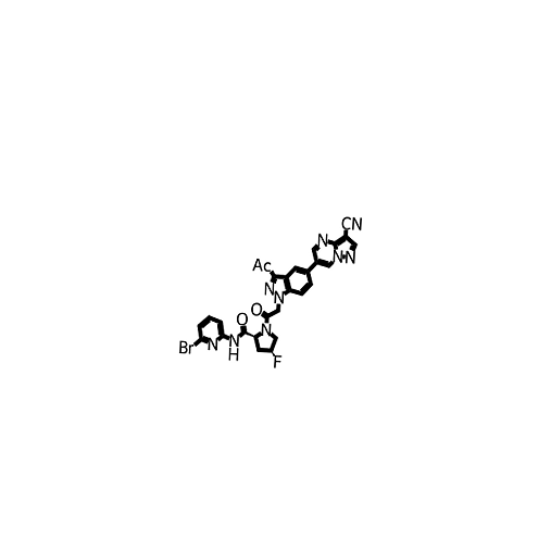 CC(=O)c1nn(CC(=O)N2C[C@H](F)C[C@H]2C(=O)Nc2cccc(Br)n2)c2ccc(-c3cnc4c(C#N)cnn4c3)cc12